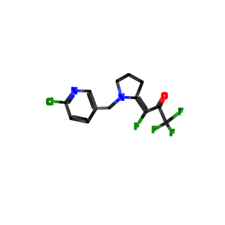 O=C(/C(F)=C1\CCCN1Cc1ccc(Cl)nc1)C(F)(F)F